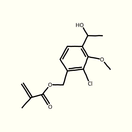 C=C(C)C(=O)OCc1ccc(C(C)O)c(OC)c1Cl